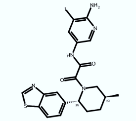 C[C@H]1CC[C@H](c2ccc3scnc3c2)N(C(=O)C(=O)Nc2cnc(N)c(I)c2)C1